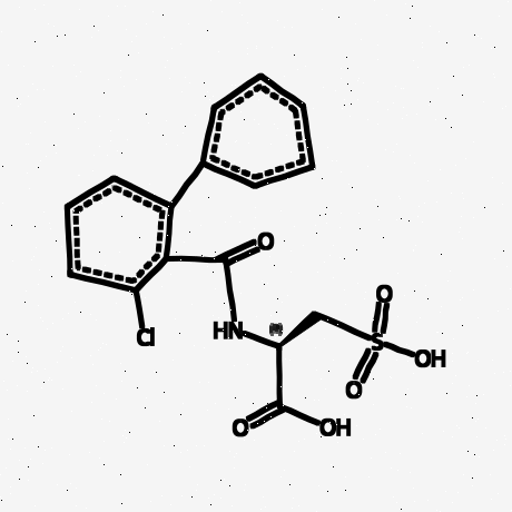 O=C(N[C@@H](CS(=O)(=O)O)C(=O)O)c1c(Cl)cccc1-c1ccccc1